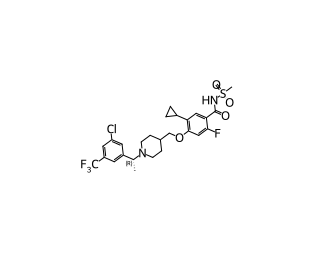 C[C@H](c1cc(Cl)cc(C(F)(F)F)c1)N1CCC(COc2cc(F)c(C(=O)NS(C)(=O)=O)cc2C2CC2)CC1